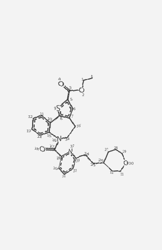 CCOC(=O)c1cc2c(s1)-c1ccccc1N(C(=O)c1cccc(CCC3CCCOCC3)n1)CC2